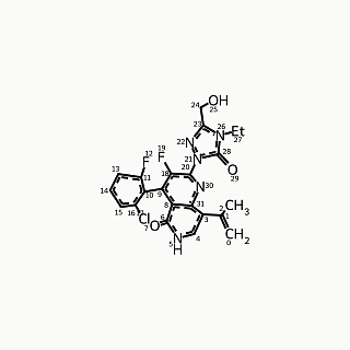 C=C(C)c1c[nH]c(=O)c2c(-c3c(F)cccc3Cl)c(F)c(-n3nc(CO)n(CC)c3=O)nc12